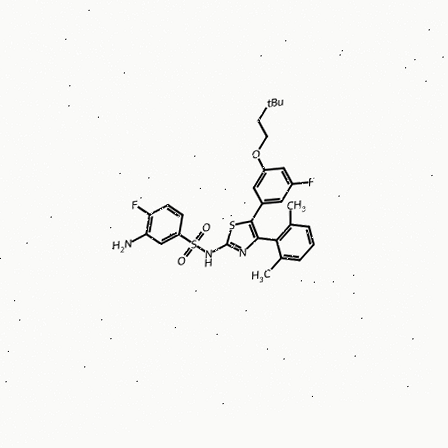 Cc1cccc(C)c1-c1nc(NS(=O)(=O)c2ccc(F)c(N)c2)sc1-c1cc(F)cc(OCCC(C)(C)C)c1